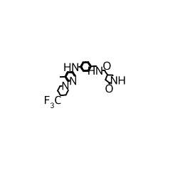 Cc1cc(Nc2ccc(CNC(=O)C3CNC(=O)C3)cc2)cnc1N1CCC(C(F)(F)F)CC1